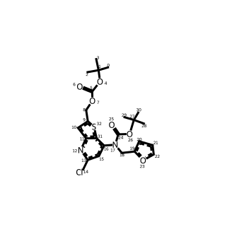 CC(C)(C)OC(=O)OCc1cc2nc(Cl)cc(N(Cc3ccco3)C(=O)OC(C)(C)C)c2s1